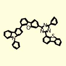 c1ccc(-c2nc(-c3ccc4c(c3)oc3c(-c5ccc6c(c5)c5ccccc5n6-c5ccccc5)cccc34)nc(-c3cccc4c3sc3ccccc34)n2)cc1